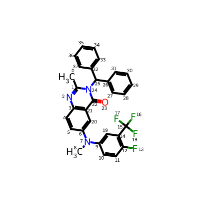 Cc1nc2ccc(N(C)c3ccc(F)c(C(F)(F)F)c3)cc2c(=O)n1C(c1ccccc1)c1ccccc1